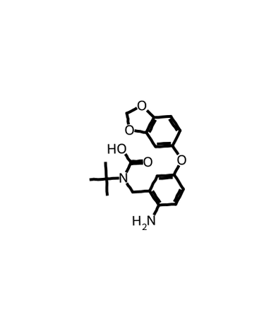 CC(C)(C)N(Cc1cc(Oc2ccc3c(c2)OCO3)ccc1N)C(=O)O